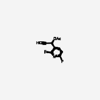 C#CC(OC(C)=O)c1ccc(F)nc1F